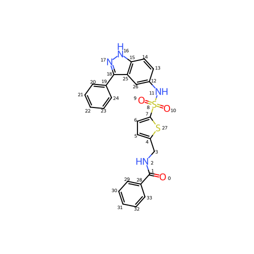 O=C(NCc1ccc(S(=O)(=O)Nc2ccc3[nH]nc(-c4ccccc4)c3c2)s1)c1ccccc1